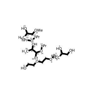 CC(O)CO.CCCCOCCOCCO.CCCOC(CC)C(C)O.CCCOCCC.COCC(C)O